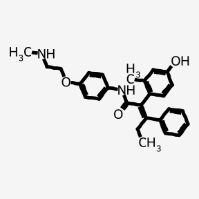 CC/C(=C(\C(=O)Nc1ccc(OCCNC)cc1)c1ccc(O)cc1C)c1ccccc1